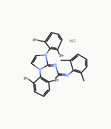 CC(=Nc1c(C)cccc1C)N=c1n(-c2c(C(C)C)cccc2C(C)C)ccn1-c1c(C(C)C)cccc1C(C)C.Cl